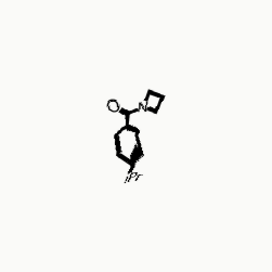 CC(C)c1ccc(C(=O)N2CCC2)cc1